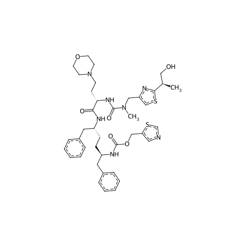 C[C@H](CO)c1nc(CN(C)C(=O)N[C@@H](CCN2CCOCC2)C(=O)N[C@H](CC[C@H](Cc2ccccc2)NC(=O)OCc2cncs2)Cc2ccccc2)cs1